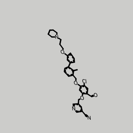 Cc1c(COc2cc(OCc3cncc(C#N)c3)c(C=O)cc2Cl)cccc1-c1cccc(OCCCN2CCCCC2)c1